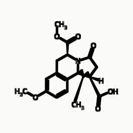 COC(=O)[C@@H]1Cc2cc(OC)ccc2[C@@]23C[C@H](C)[C@@H](C(=O)O)[C@@H]2CC(=O)N13